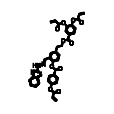 C=CC(=O)Oc1ccc(C(=O)Oc2ccc(CCOC(=O)c3ccc(OC(=O)C=C)c(OC(=O)C=C)c3)cc2/C=N/Nc2nc3ccccc3s2)cc1